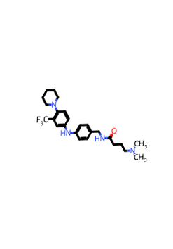 CN(C)CCCC(=O)NCc1ccc(Nc2ccc(N3CCCCC3)c(C(F)(F)F)c2)cc1